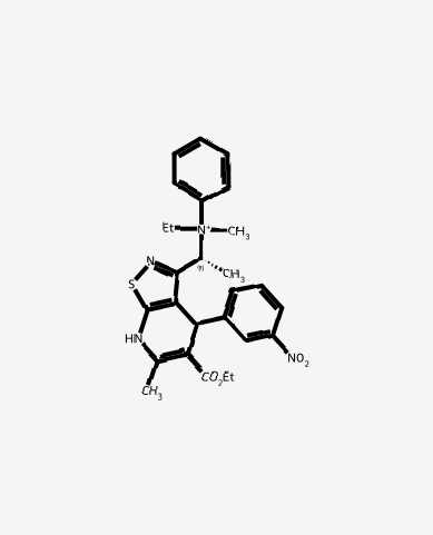 CCOC(=O)C1=C(C)Nc2snc([C@@H](C)[N+](C)(CC)c3ccccc3)c2C1c1cccc([N+](=O)[O-])c1